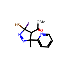 COC(=O)C1C(S)(I)N=NC1(C)c1ccccn1